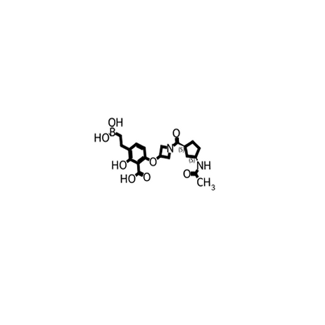 CC(=O)N[C@H]1CC[C@H](C(=O)N2CC(Oc3ccc(CCB(O)O)c(O)c3C(=O)O)C2)C1